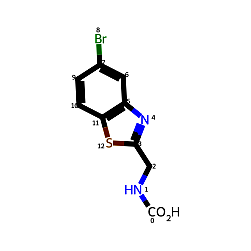 O=C(O)NCc1nc2cc(Br)ccc2s1